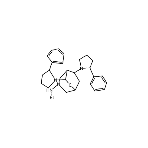 CCNN1CC2CC(N3CCCC3c3ccccc3)C(C1)C(N1CCCC1c1ccccc1)C2